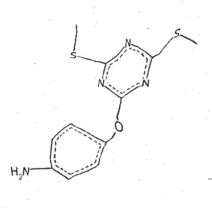 CSc1nc(Oc2ccc(N)cc2)nc(SC)n1